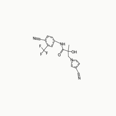 CC(O)(Cn1ccc(C#N)c1)C(=O)Nc1ccc(C#N)c(C(F)(F)F)c1